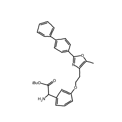 Cc1oc(-c2ccc(-c3ccccc3)cc2)nc1CCOc1[c]c(C(N)C(=O)OCC(C)C)ccc1